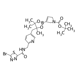 CC(C)(C)OC(=O)N1CC=C(B2OC(C)(C)C(C)(Cc3ccc(CNC(=O)c4nnc(Br)s4)nc3)O2)C1